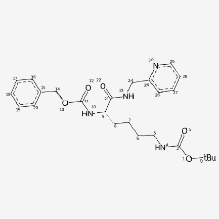 CC(C)(C)OC(=O)NCCCC[C@H](NC(=O)OCc1ccccc1)C(=O)NCc1ccccn1